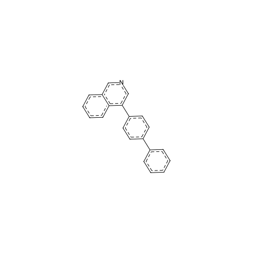 c1ccc(-c2ccc(-c3cncc4ccccc34)cc2)cc1